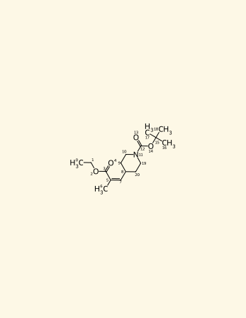 CCOC(=O)C(C)=CC1CCN(C(=O)OC(C)(C)C)CC1